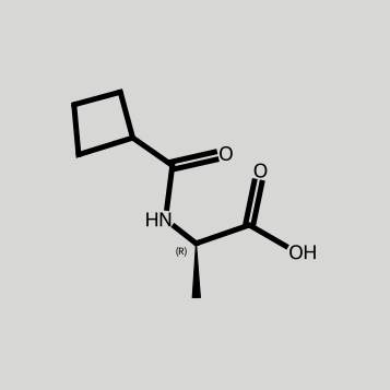 C[C@@H](NC(=O)C1CCC1)C(=O)O